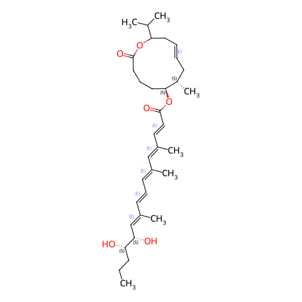 CCC[C@H](O)[C@@H](O)/C=C(C)/C=C/C=C(C)/C=C(C)/C=C/C(=O)O[C@H]1CCCC(=O)OC(C(C)C)C/C=C/C[C@@H]1C